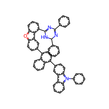 c1ccc(C2=NC(c3ccccc3)NC(c3cccc4oc5ccc(-c6ccc(-c7ccc8c(c7)c7ccccc7n8-c7ccccc7)c7ccccc67)cc5c34)=N2)cc1